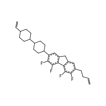 C=CCCc1cc2c(c(F)c1F)-c1c(cc(C3CCC(C4CCC(C=C)CC4)CC3)c(F)c1F)C2